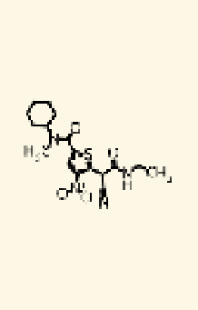 CCNC(=O)C(C#N)c1sc(C(=O)N(C)C2CCCCC2)cc1[N+](=O)[O-]